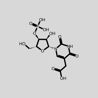 O=C(O)Cc1cn([C@@H]2O[C@H](CO)[C@@H](OP(=O)(O)O)[C@H]2O)c(=O)[nH]c1=O